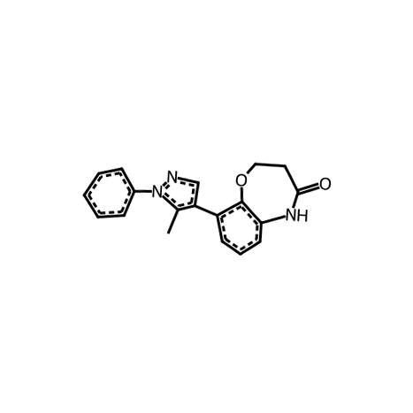 Cc1c(-c2cccc3c2OCCC(=O)N3)cnn1-c1ccccc1